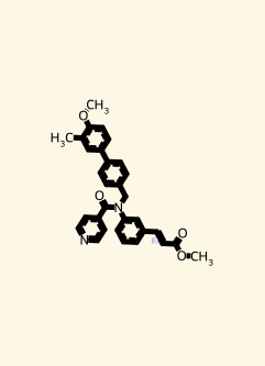 COC(=O)/C=C/c1cccc(N(Cc2ccc(-c3ccc(OC)c(C)c3)cc2)C(=O)c2ccncc2)c1